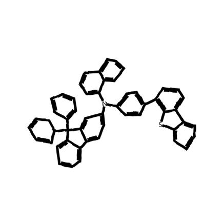 C1=CCC(C2(c3ccccc3)c3ccccc3-c3ccc(N(c4ccc(-c5cccc6c5sc5ccccc56)cc4)c4cccc5ccccc45)cc32)C=C1